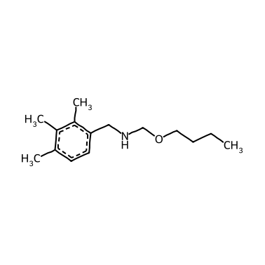 CCCCOCNCc1ccc(C)c(C)c1C